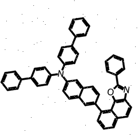 c1ccc(-c2ccc(N(c3ccc(-c4ccccc4)cc3)c3ccc4cc(-c5cccc6ccc7nc(-c8ccccc8)oc7c56)ccc4c3)cc2)cc1